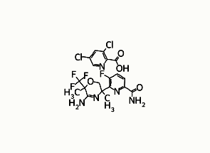 CC1(c2nc(C(N)=O)ccc2F)COC(C)(C(F)(F)F)C(N)=N1.O=C(O)c1ncc(Cl)cc1Cl